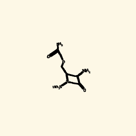 NC(=O)OCC1C(N)C(=O)N1S(=O)(=O)O